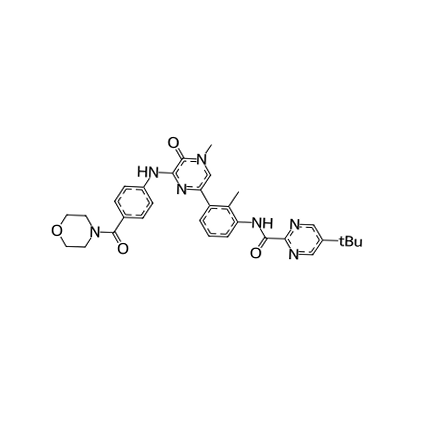 Cc1c(NC(=O)c2ncc(C(C)(C)C)cn2)cccc1-c1cn(C)c(=O)c(Nc2ccc(C(=O)N3CCOCC3)cc2)n1